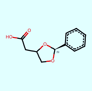 O=C(O)CC1CO[C@H](c2ccccc2)O1